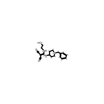 N#CC(C#N)=C(NCCO)NC1CCN(Cc2ccccc2)CC1